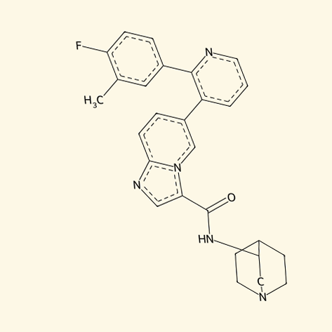 Cc1cc(-c2ncccc2-c2ccc3ncc(C(=O)NC4CN5CCC4CC5)n3c2)ccc1F